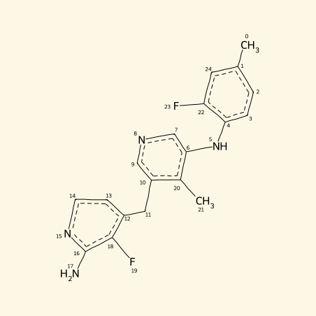 Cc1ccc(Nc2cncc(Cc3ccnc(N)c3F)c2C)c(F)c1